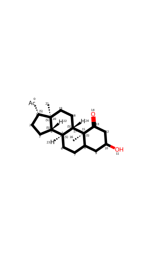 CC(=O)[C@H]1CC[C@H]2[C@@H]3CCC4CC(O)CC(=O)[C@]4(C)[C@H]3CC[C@]12C